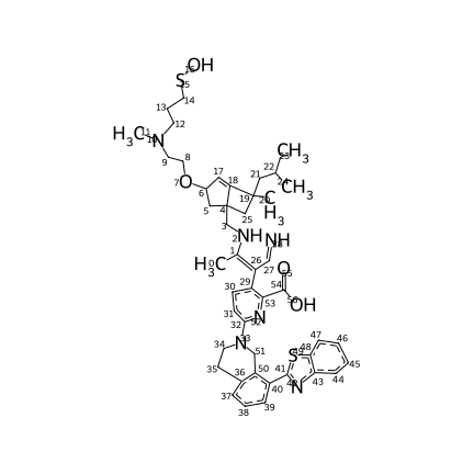 C/C(NCC12CC(OCCN(C)CCCSO)C=C1C(C)(CC(C)C)C2)=C(/C=N)c1ccc(N2CCc3cccc(-c4nc5ccccc5s4)c3C2)nc1C(=O)O